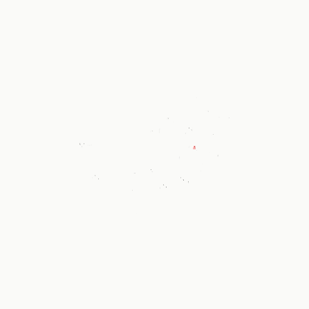 COc1cc(-c2cc(C(=O)N3[C@@H]4CC[C@H]3C=C(C(=O)O)C4)n[nH]2)c(F)cn1